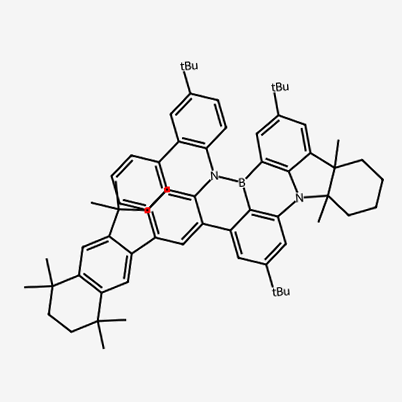 CC(C)(C)c1ccc(N2B3c4cc(C(C)(C)C)cc5c4N(c4cc(C(C)(C)C)cc(c43)-c3cc4c(cc32)C(C)(C)c2cc3c(cc2-4)C(C)(C)CCC3(C)C)C2(C)CCCCC52C)c(-c2ccccc2)c1